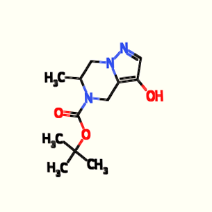 CC1Cn2ncc(O)c2CN1C(=O)OC(C)(C)C